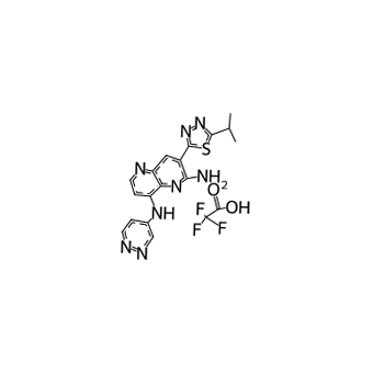 CC(C)c1nnc(-c2cc3nccc(Nc4ccnnc4)c3nc2N)s1.O=C(O)C(F)(F)F